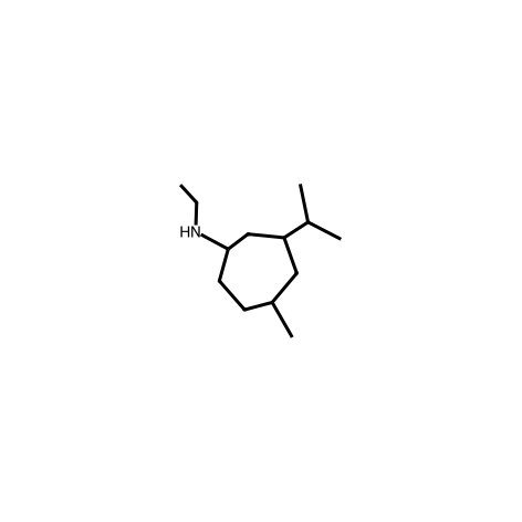 CCNC1CCC(C)CC(C(C)C)C1